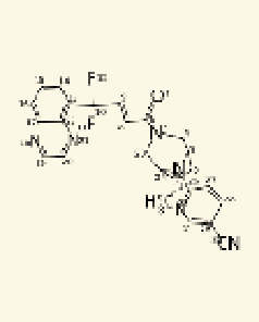 C[C@H]1CC2CN(C(=O)/C=C/C(F)(F)c3cccc4nccnc34)CC1N2c1ccc(C#N)cn1